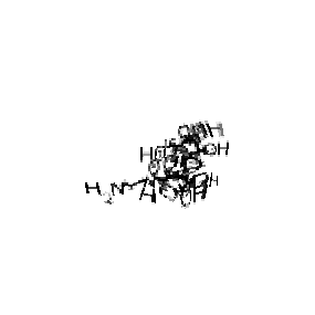 NCCCNC(=O)[C@H](O)[C@@H](O)[C@H](O[C@@H]1OC(CO)[C@H](O)[C@H](O)C1O)[C@H](O)CO